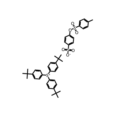 CC(C)(C)c1ccc([S+](c2ccc(C(C)(C)C)cc2)c2ccc(C(C)(C)C)cc2)cc1.Cc1ccc(S(=O)(=O)Oc2ccc(S(=O)(=O)[O-])cc2)cc1